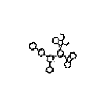 C=Cc1c(/C=C\C)c2ccccc2n1-c1cc(-c2cc(-c3ccc(-c4ccccc4)cc3)nc(-c3ccccc3)n2)cc(-n2c3ccccc3c3ccccc32)c1